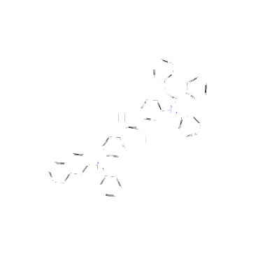 [2H]/C(=C(/[2H])c1ccc2c(-c3ccccc3)c(-c3ccccc3)n(-c3ccccc3)c2c1)c1ccc(N(c2ccccc2)c2ccc3ccccc3c2)cc1